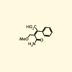 COCC(C(N)=O)=C(C(=O)O)c1ccccc1